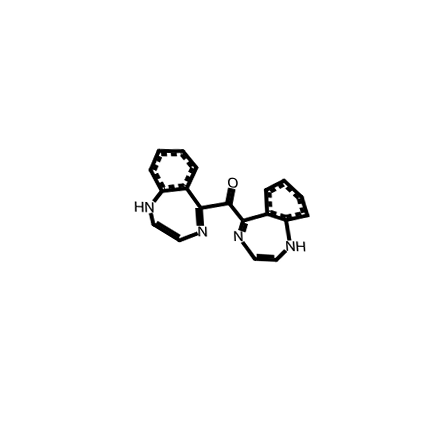 O=C(C1=NC=CNc2ccccc21)C1=NC=CNc2ccccc21